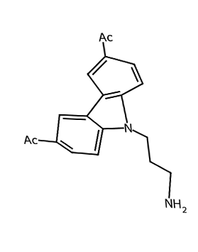 CC(=O)c1ccc2c(c1)c1cc(C(C)=O)ccc1n2CCCN